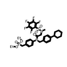 CCOP(=O)(Cc1ccc(N(Cc2ccc(C3CCCCC3)cc2)C(=O)CN(C)S(=O)(=O)c2c(F)c(F)c(F)c(F)c2F)cc1)OCC